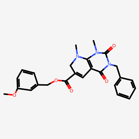 COc1cccc(COC(=O)C2=Cc3c(n(C)c(=O)n(Cc4ccccc4)c3=O)N(C)C2)c1